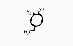 C=C/C1=C/C=C\C(=C)/C(O)=C\C=C/C1